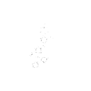 COc1cc(Nc2ncc(C#N)c(Nc3cccnc3-c3ccccn3)n2)ccc1C1CCN(C)CC1